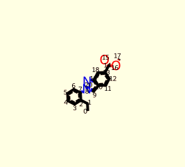 CCc1ccccc1-n1cc2ccc(C(=O)OC)cc2n1